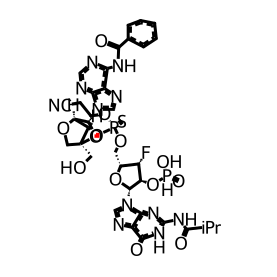 CC(C)C(=O)Nc1nc2c(ncn2[C@@H]2O[C@H](COP(=S)(OCCC#N)O[C@H]3[C@H]4OC[C@]3(CO)O[C@H]4n3cnc4c(NC(=O)c5ccccc5)ncnc43)[C@H](F)[C@H]2O[PH](=O)O)c(=O)[nH]1